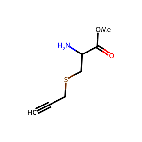 C#CCSCC(N)C(=O)OC